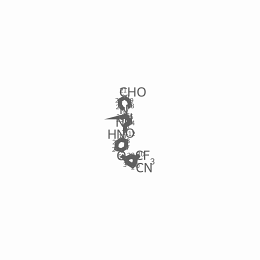 N#Cc1ccc(OC2CCC(NC(=O)c3cnc(N4CCC(C=O)CC4)cn3)CC2)cc1C(F)(F)F